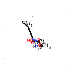 CCC=CCC=CCC=CCC=CCC=CCC=CCCC(=O)NC(CCCCNC(=O)C(C)(C)CCCOc1cc(C)ccc1C)C(=O)O